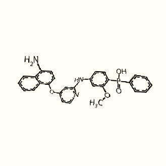 COc1cc(Nc2cc(Oc3ccc(N)c4ccccc34)ccn2)ccc1P(=O)(O)c1ccccc1